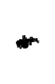 C=CC(=O)NCC1CC(C)c2c(-c3cnc4ccccc4c3)c3c(N)ncnc3n2C1